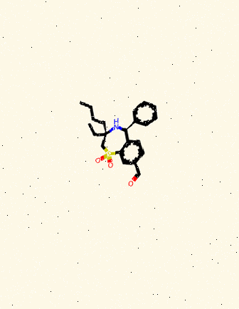 CCCC[C@]1(CC)CS(=O)(=O)c2cc(C=O)ccc2[C@H](c2ccccc2)N1